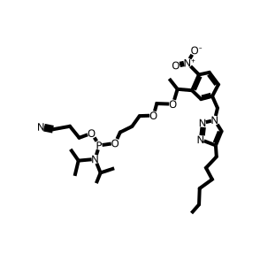 CCCCCCc1cn(Cc2ccc([N+](=O)[O-])c(C(C)OCOCCCOP(OCCC#N)N(C(C)C)C(C)C)c2)nn1